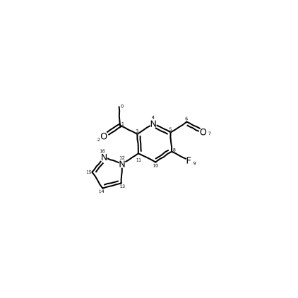 CC(=O)c1nc(C=O)c(F)cc1-n1cccn1